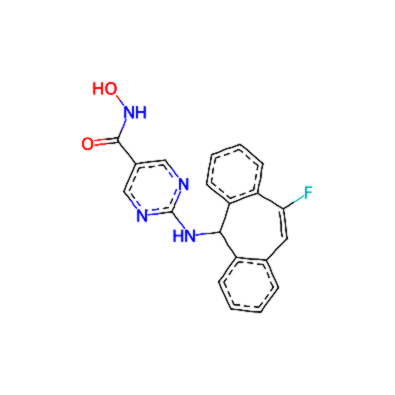 O=C(NO)c1cnc(NC2c3ccccc3C=C(F)c3ccccc32)nc1